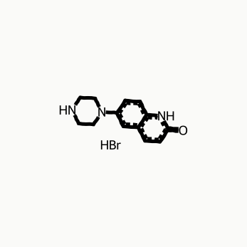 Br.O=c1ccc2cc(N3CCNCC3)ccc2[nH]1